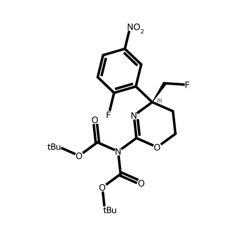 CC(C)(C)OC(=O)N(C(=O)OC(C)(C)C)C1=N[C@](CF)(c2cc([N+](=O)[O-])ccc2F)CCO1